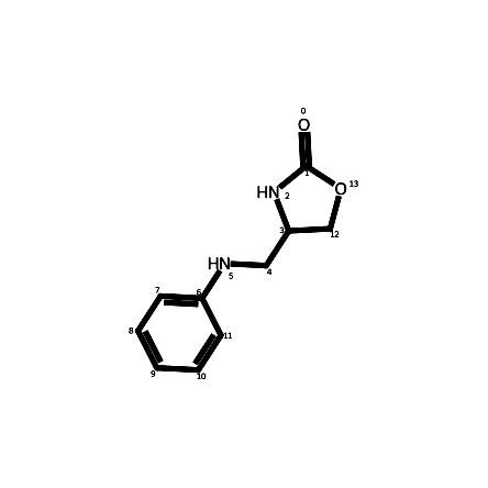 O=C1NC(CNc2ccccc2)CO1